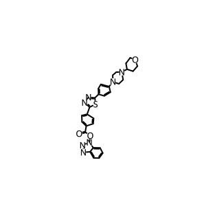 O=C(On1nnc2ccccc21)c1ccc(-c2nnc(-c3ccc(N4CCN(C5CCOCC5)CC4)cc3)s2)cc1